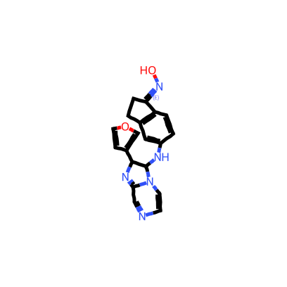 O/N=C1\CCc2cc(NC3C(c4ccoc4)N=C4C=NC=CN43)ccc21